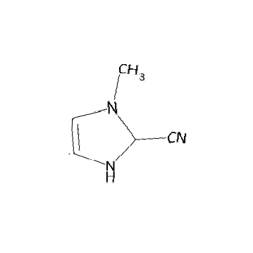 CN1C=[C]NC1C#N